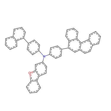 c1ccc2c(-c3ccc(N(c4ccc(-c5cc6ccc7ccccc7c6c6ccccc56)cc4)c4ccc5c(c4)oc4ccccc45)cc3)cccc2c1